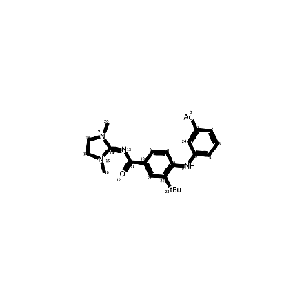 CC(=O)c1cccc(Nc2ccc(C(=O)N=C3N(C)CCN3C)cc2C(C)(C)C)c1